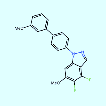 COc1cccc(-c2ccc(-n3ncc4c(F)c(F)c(OC)cc43)cc2)c1